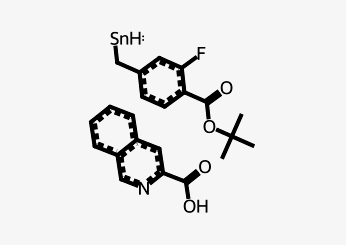 CC(C)(C)OC(=O)c1ccc([CH2][SnH])cc1F.O=C(O)c1cc2ccccc2cn1